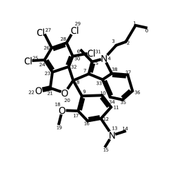 CCCCn1c(C)c(C2(c3ccc(N(C)C)cc3OC)OC(=O)c3c(Cl)c(Cl)c(Cl)c(Cl)c32)c2ccccc21